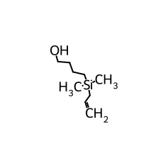 C=CC[Si](C)(C)CCCCO